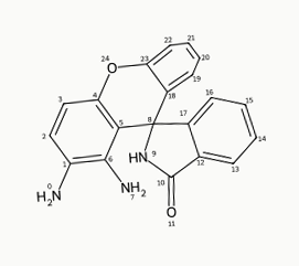 Nc1ccc2c(c1N)C1(NC(=O)c3ccccc31)c1ccccc1O2